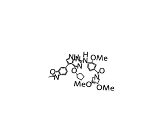 COc1cc(C(=O)N2CC(OC)[C@H](OC)C2)ccc1Nc1nc(OC2CCCC2)c2c(-c3ccc4nc(C)oc4c3)c[nH]c2n1